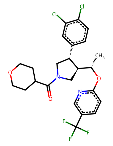 C[C@H](Oc1ccc(C(F)(F)F)cn1)[C@H]1CN(C(=O)C2CCOCC2)C[C@@H]1c1ccc(Cl)c(Cl)c1